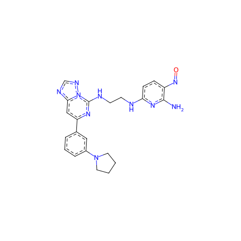 Nc1nc(NCCNc2nc(-c3cccc(N4CCCC4)c3)cc3ncnn23)ccc1N=O